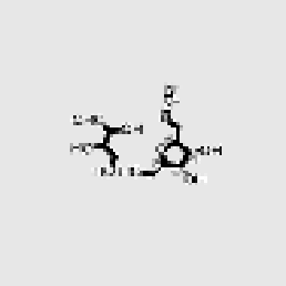 O=CC(O)C(O)CO.[N-]=[N+]=NC[C@@H]1O[C@H](CO)[C@@H](O)[C@@H]1O